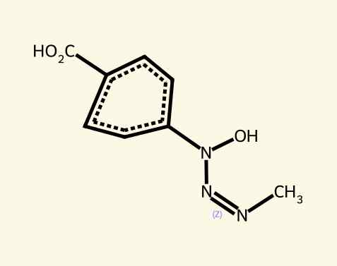 C/N=N\N(O)c1ccc(C(=O)O)cc1